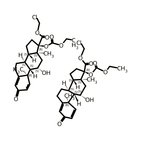 CCOC(=O)O[C@]1(C(=O)OCCl)CC[C@H]2[C@@H]3CCC4=CC(=O)C=C[C@]4(C)[C@H]3[C@@H](O)C[C@@]21C.CCOC(=O)O[C@]1(C(=O)OCCl)CC[C@H]2[C@@H]3CCC4=CC(=O)C=C[C@]4(C)[C@H]3[C@@H](O)C[C@@]21C